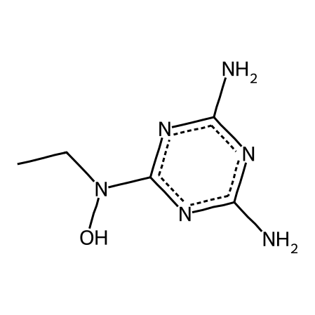 CCN(O)c1nc(N)nc(N)n1